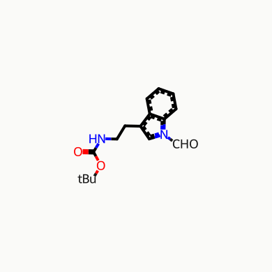 CC(C)(C)OC(=O)NCCc1cn(C=O)c2ccccc12